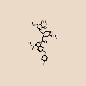 CC1CN(CC(=O)N2CC(C)(C)c3ncc(Cc4ccc(F)cc4)cc32)[C@@H](CN2CC(C)C(C)C2=O)CN1